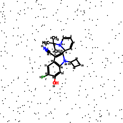 CC(C)(C)N1C=CC=CC1c1c(C#N)c2cc(F)c(O)cc2n1C1CCC1